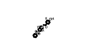 O=C(CN1C[C@H]2C[C@H](S(=O)(=O)c3ccccc3)C[C@H]2C1)c1ccc(O)c(F)c1